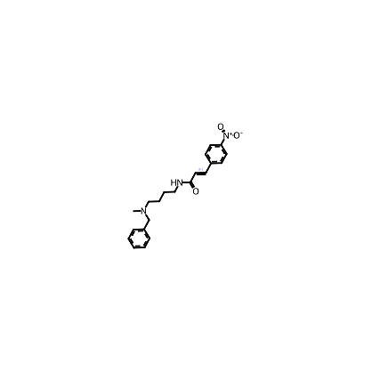 CN(CCCCNC(=O)/C=C/c1ccc([N+](=O)[O-])cc1)Cc1ccccc1